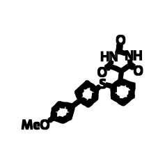 COc1ccc(-c2ccc(Sc3ccccc3C3C(=O)NC(=O)NC3=O)cc2)cc1